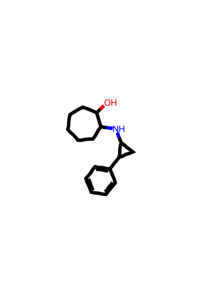 OC1CCCCCC1NC1CC1c1ccccc1